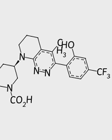 Cc1c(-c2ccc(C(F)(F)F)cc2O)nnc2c1CCCN2[C@@H]1CCCN(C(=O)O)C1